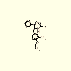 CCC(=O)NN(Cc1cnc(OCC(F)(F)F)c(C(F)(F)F)c1)C(=O)c1cnccn1